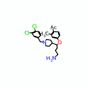 CC(=O)c1ccc(OC(CCCN)C2CCN(Cc3ccc(Cl)c(Cl)c3)CC2)cc1C